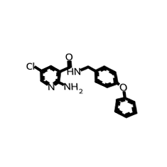 Nc1ncc(Cl)cc1C(=O)NCc1ccc(Oc2ccccc2)cc1